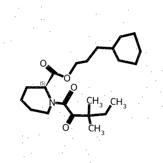 CCC(C)(C)C(=O)C(=O)N1CCCC[C@H]1C(=O)OCCCC1CCCCC1